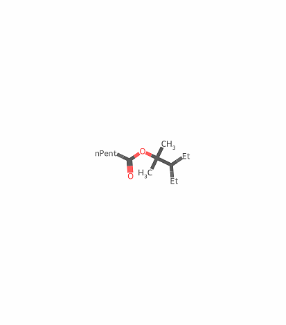 CCCCCC(=O)OC(C)(C)C(CC)CC